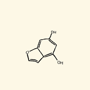 Oc1cc(O)c2ccoc2c1